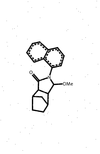 COC1C2C3CCC(C3)C2C(=O)N1c1cccc2ccccc12